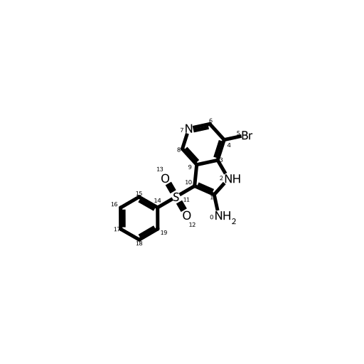 Nc1[nH]c2c(Br)cncc2c1S(=O)(=O)c1ccccc1